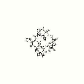 CC1(C)CON(Cc2cc3c(cc2Cl)OC(F)(F)CO3)C1=S.C[Si](C)(C)O[Si](C)(C)C